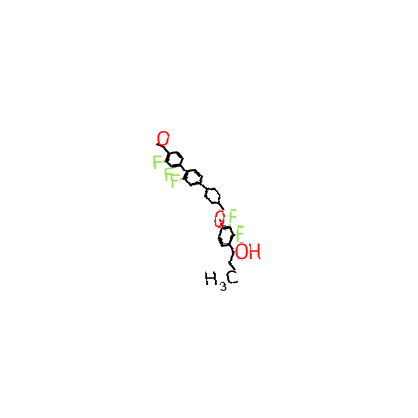 CCCC(O)c1ccc(OCC2CCC(c3ccc(-c4ccc(C5CO5)c(F)c4F)c(F)c3)CC2)c(F)c1F